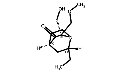 CC[C@@H]1C[C@H]2CCN1[C@](CO)(COC)C2=O